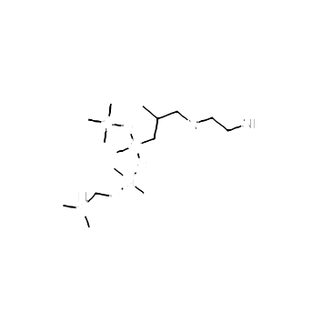 CC(CNCCN)C[Si](C)(O[Si](C)(C)C)O[Si](C)(C)OC[SiH](C)C